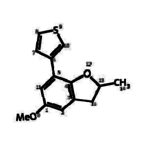 COc1cc2c(c(-c3ccsc3)c1)OC(C)C2